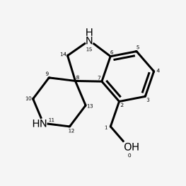 OCc1cccc2c1C1(CCNCC1)CN2